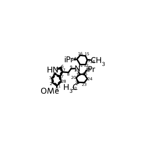 COc1ccc2[nH]cc(CCN(C3CC(C)CCC3C(C)C)C3CC(C)CCC3C(C)C)c2c1